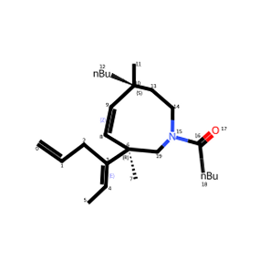 C=CC/C(=C\C)[C@@]1(C)/C=C\[C@@](C)(CCCC)CCN(C(=O)CCCC)C1